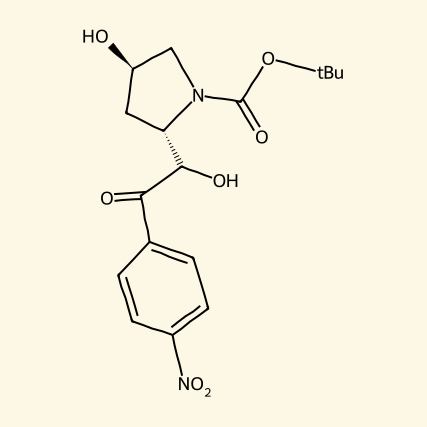 CC(C)(C)OC(=O)N1C[C@H](O)C[C@H]1C(O)C(=O)c1ccc([N+](=O)[O-])cc1